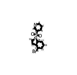 O=S(=O)(c1cccnc1)n1ccc2c(Br)cccc21